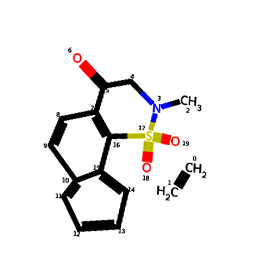 C=C.CN1CC(=O)c2ccc3ccccc3c2S1(=O)=O